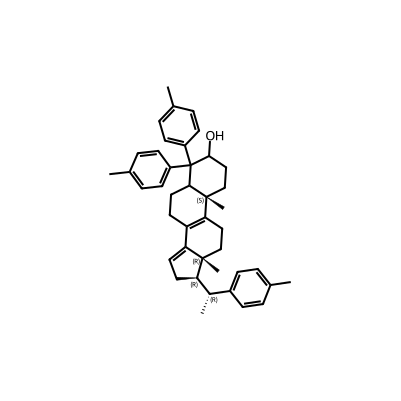 Cc1ccc([C@H](C)[C@H]2CC=C3C4=C(CC[C@@]32C)[C@@]2(C)CCC(O)C(c3ccc(C)cc3)(c3ccc(C)cc3)C2CC4)cc1